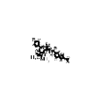 C[C@]1(C(N)=O)COc2c1cc(C(O)(CNC(=O)c1ccc3cc(C4CC4)cn3c1)C(F)(F)F)nc2-c1ccc(F)cc1